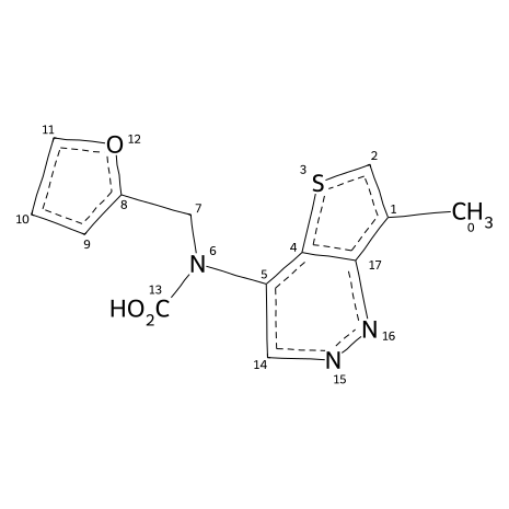 Cc1csc2c(N(Cc3ccco3)C(=O)O)cnnc12